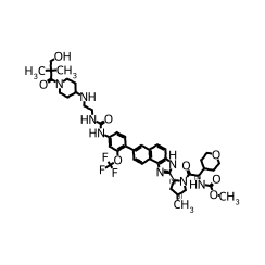 COC(=O)N[C@H](C(=O)N1C[C@@H](C)C[C@H]1c1nc2c(ccc3cc(-c4ccc(NC(=O)NCCNC5CCN(C(=O)C(C)(C)CO)CC5)cc4OC(F)(F)F)ccc32)[nH]1)C1CCOCC1